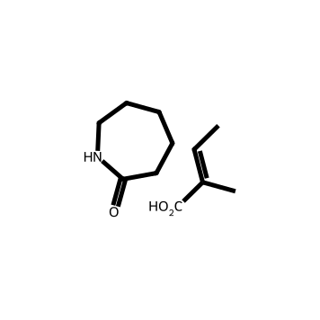 CC=C(C)C(=O)O.O=C1CCCCCN1